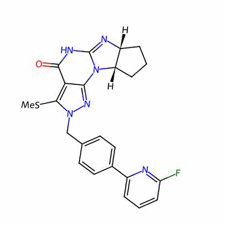 CSc1c2c(nn1Cc1ccc(-c3cccc(F)n3)cc1)N1C(=N[C@@H]3CCC[C@@H]31)NC2=O